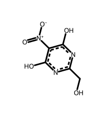 O=[N+]([O-])c1c(O)nc(CO)nc1O